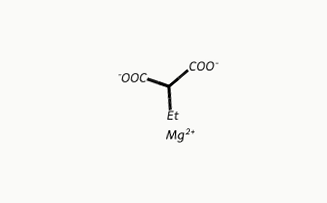 CCC(C(=O)[O-])C(=O)[O-].[Mg+2]